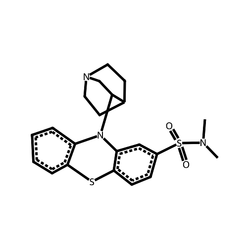 CN(C)S(=O)(=O)c1ccc2c(c1)N(C1CN3CCC1CC3)c1ccccc1S2